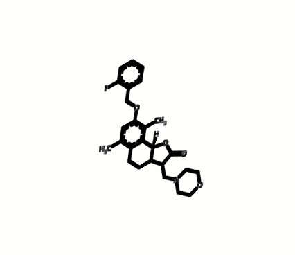 Cc1cc(OCc2ccccc2F)c(C)c2c1CCC1C(CN3CCOCC3)C(=O)O[C@@H]21